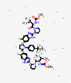 COC(=O)N[C@H](C(=O)N1CCC[C@H]1c1nc2cc([C@H]3CC[C@@H](c4cc5[nH]c([C@@H]6CCCN6C(=O)[C@@H](NC(=O)OC)C(C)C)nc5cc4F)N3c3ccc(C(C)(C)C)cc3)c(F)cc2[nH]1)C(C)C